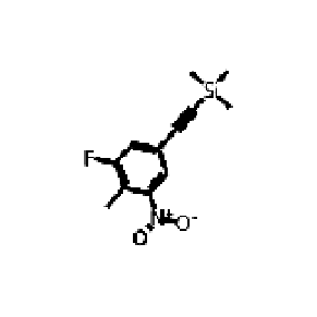 Cc1c(F)cc(C#C[Si](C)(C)C)cc1[N+](=O)[O-]